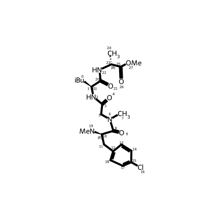 CCC(C)[C@H](NC(=O)CN(C)C(=O)[C@@H](Cc1ccc(Cl)cc1)NC)C(=O)N[C@H](C)C(=O)OC